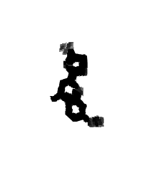 COc1ccc2c(C)cc(-c3nc(C(F)(F)F)cs3)nc2c1